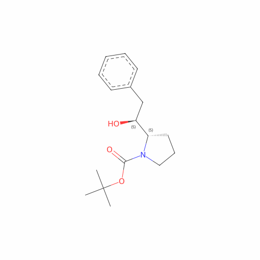 CC(C)(C)OC(=O)N1CCC[C@H]1[C@@H](O)Cc1ccccc1